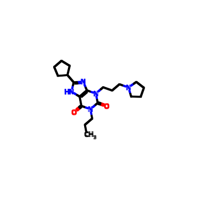 CCCn1c(=O)c2[nH]c(C3CCCC3)nc2n(CCCN2CCCC2)c1=O